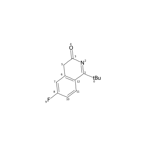 CC(C)(C)C1=NC(=O)Cc2cc(F)ccc21